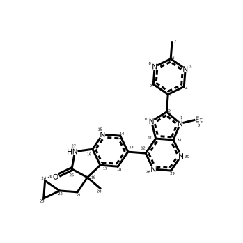 CCn1c(-c2cnc(C)nc2)nc2c(-c3cnc4c(c3)C(C)(CC3CC3)C(=O)N4)ncnc21